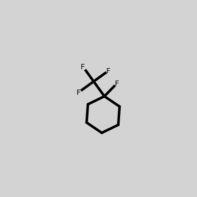 FC(F)(F)C1(F)CCCCC1